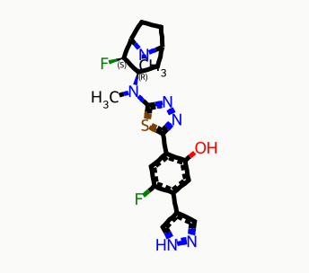 CN1C2CCC1[C@H](F)[C@H](N(C)c1nnc(-c3cc(F)c(-c4cn[nH]c4)cc3O)s1)C2